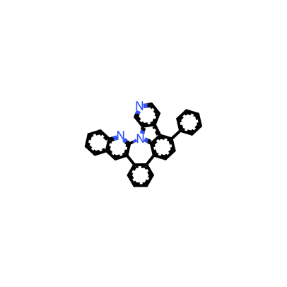 c1ccc(-c2ccc3c4c2c2ccncc2n4-c2nc4ccccc4cc2-c2ccccc2-3)cc1